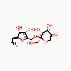 C/C=C1\O[C@H](CO[C@]2(CO)OC[C@@H](O)[C@@H](O)[C@H]2O)[C@@H](O)[C@H]1O